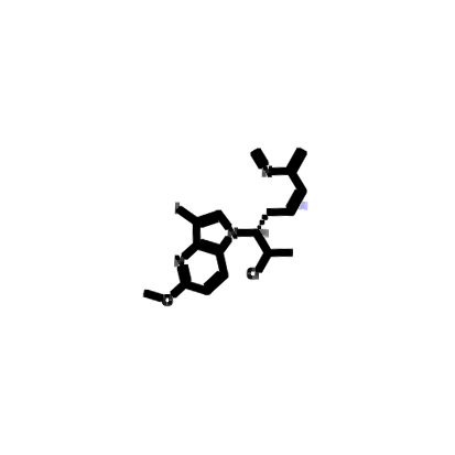 C=NC(=C)/C=C\C[C@H](C(C)Cl)n1cc(I)c2nc(OC)ccc21